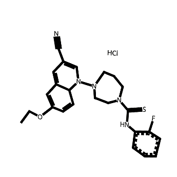 CCOC1=CC2=CC(C#N)=CN(N3CCCN(C(=S)Nc4ccccc4F)CC3)C2C=C1.Cl